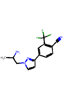 CC(N)Cn1ccc(-c2ccc(C#N)c(C(F)(F)F)c2)n1